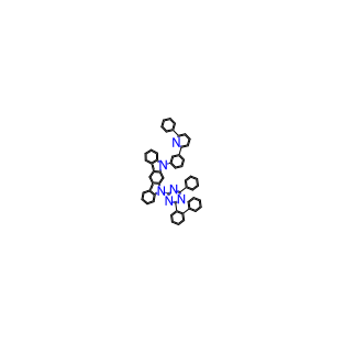 c1ccc(-c2cccc(-c3cccc(-n4c5ccccc5c5cc6c7ccccc7n(-c7nc(-c8ccccc8)nc(-c8ccccc8-c8ccccc8)n7)c6cc54)c3)n2)cc1